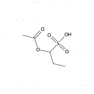 CCC(OC(C)=O)S(=O)(=O)O